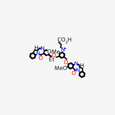 C=C1N=C[C@@H]2Cc3ccccc3N2C(=O)/C1=C/C(OC)=C(\CC)OCc1cc(COc2cc3c(cc2OC)C(=O)N2c4ccccc4C[C@H]2C=N3)cc(N(C)CCCC(=O)O)c1